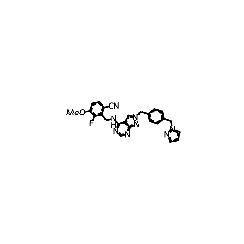 COc1ccc(C#N)c(CNc2ncnc3nn(Cc4ccc(Cn5cccn5)cc4)cc23)c1F